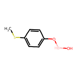 CSc1ccc(OBO)cc1